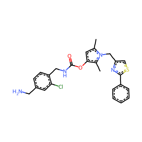 Cc1cc(OC(=O)NCc2ccc(CN)cc2Cl)c(C)n1Cc1csc(-c2ccccc2)n1